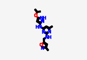 Cc1cc(CNc2nc(C)cc(Nc3cc(OC(C)C)[nH]n3)n2)on1